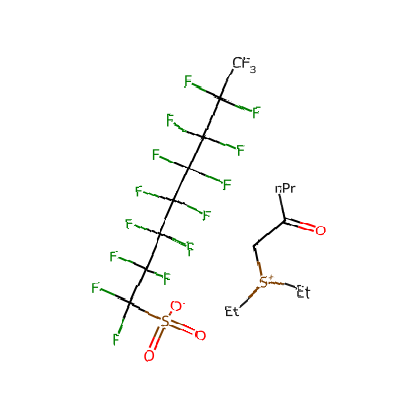 CCCC(=O)C[S+](CC)CC.O=S(=O)([O-])C(F)(F)C(F)(F)C(F)(F)C(F)(F)C(F)(F)C(F)(F)C(F)(F)C(F)(F)F